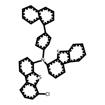 Clc1cccc2c1sc1c(N(c3ccc(-c4cccc5ccccc45)cc3)c3cccc4c3sc3ccccc34)cccc12